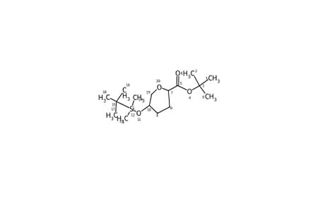 CC(C)(C)OC(=O)C1CCC(O[Si](C)(C)C(C)(C)C)CO1